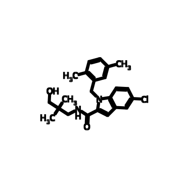 Cc1ccc(C)c(Cn2c(C(=O)NCC(C)(C)CO)cc3cc(Cl)ccc32)c1